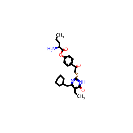 CCCC(N)C(=O)Oc1ccc(C(=O)CSc2nc(CC3CCCCC3)c(CC)c(=O)[nH]2)cc1